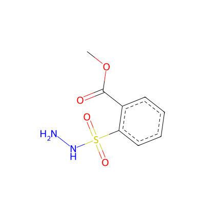 COC(=O)c1ccccc1S(=O)(=O)NN